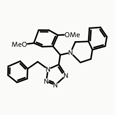 COc1ccc(OC)c(C(c2nnnn2Cc2ccccc2)N2CCc3ccccc3C2)c1